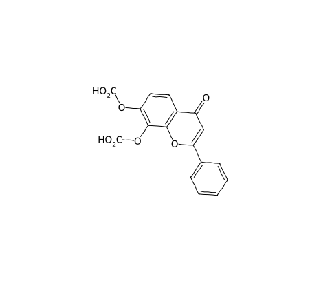 O=C(O)Oc1ccc2c(=O)cc(-c3ccccc3)oc2c1OC(=O)O